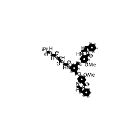 COc1cc2c(cc1OCc1cc(COc3cc4c(cc3OC)C(=O)N3c5ccccc5C[C@H]3CN4)cc(NC(=O)CNC(=O)CNC(=O)CNC(=O)C(C)C)c1)N=C[C@@H]1Cc3ccccc3N1C2=O